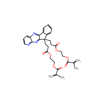 C=C(C)C(=O)OCCOC(=O)CCC1(CCC(=O)OCCOC(=O)C(=C)C)c2ccccc2-c2nc3cccnc3nc21